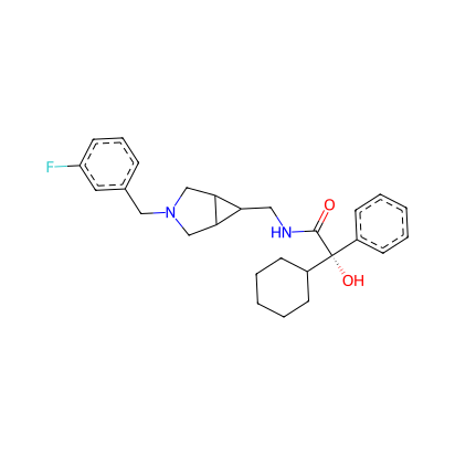 O=C(NCC1C2CN(Cc3cccc(F)c3)CC12)[C@@](O)(c1ccccc1)C1CCCCC1